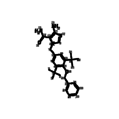 CC(C)(C)c1cc(Cn2cnc(N)c2C(N)=O)cc(C(C)(C)C)c1OCc1ccccc1